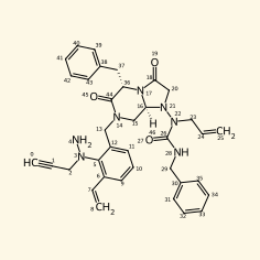 C#CCN(N)c1c(C=C)cccc1CN1C[C@H]2N(C(=O)CN2N(CC=C)C(=O)NCc2ccccc2)[C@@H](Cc2ccccc2)C1=O